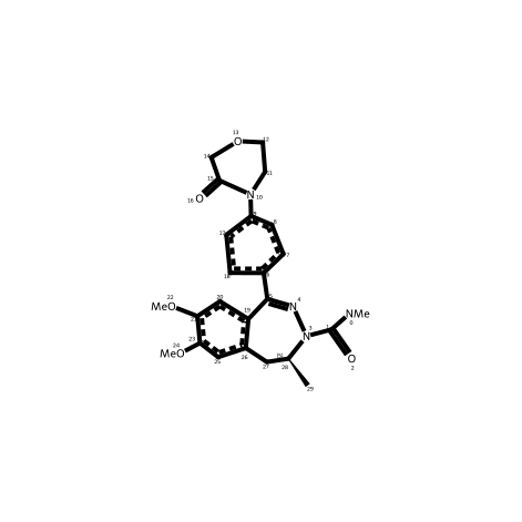 CNC(=O)N1N=C(c2ccc(N3CCOCC3=O)cc2)c2cc(OC)c(OC)cc2C[C@@H]1C